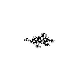 CCCOc1cc(OCCC)c(-c2ccc(-c3c(OCCC)cc(OCCC)cc3OCCC)cc2)c(OCCC)c1